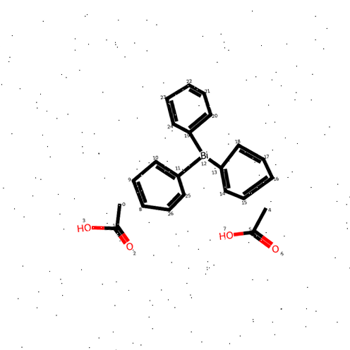 CC(=O)O.CC(=O)O.c1cc[c]([Bi]([c]2ccccc2)[c]2ccccc2)cc1